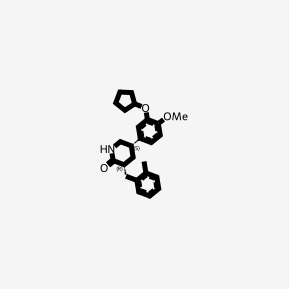 COc1ccc([C@H]2CNC(=O)[C@@H](Cc3ccccc3C)C2)cc1OC1CCCC1